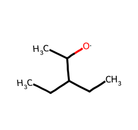 CCC(CC)C(C)[O]